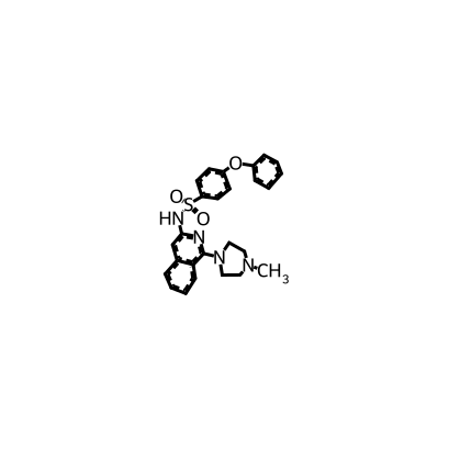 CN1CCN(c2nc(NS(=O)(=O)c3ccc(Oc4ccccc4)cc3)cc3ccccc23)CC1